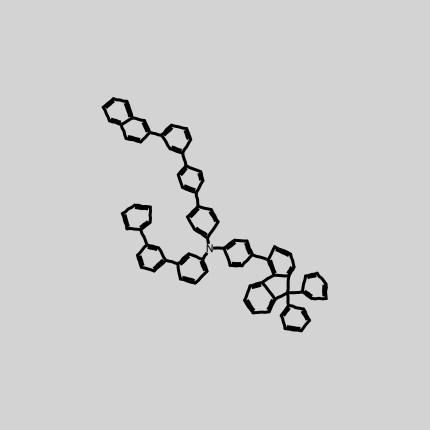 c1ccc(-c2cccc(-c3cccc(N(c4ccc(-c5ccc(-c6cccc(-c7ccc8ccccc8c7)c6)cc5)cc4)c4ccc(-c5cccc6c5-c5ccccc5C6(c5ccccc5)c5ccccc5)cc4)c3)c2)cc1